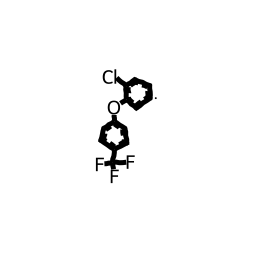 FC(F)(F)c1ccc(Oc2c[c]ccc2Cl)cc1